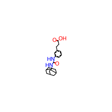 O=C(O)CCc1cccc(NC(=O)NC23CC4CC(CC(C4)C2)C3)c1